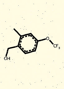 Cc1cc(OC(F)(F)F)ccc1CO